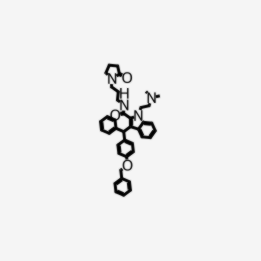 CN(C)CCn1c(C(=O)NCCCN2CCCC2=O)c(C(c2ccccc2)c2ccc(OCc3ccccc3)cc2)c2ccccc21